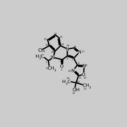 CC(C)n1c(=O)c2c(-c3noc(C(C)(C)O)n3)ncn2c2cccc(Cl)c21